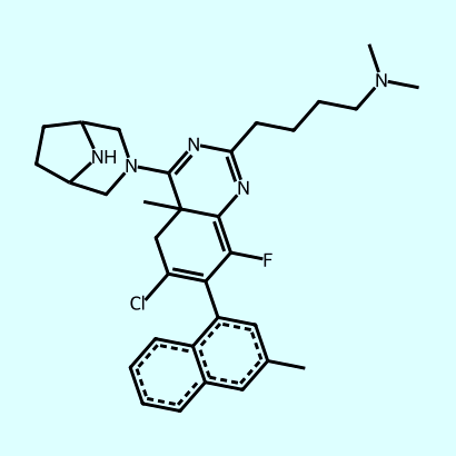 Cc1cc(C2=C(Cl)CC3(C)C(N4CC5CCC(C4)N5)=NC(CCCCN(C)C)=NC3=C2F)c2ccccc2c1